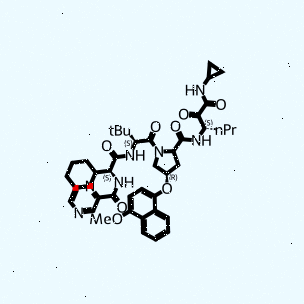 CCC[C@H](NC(=O)C1C[C@@H](Oc2ccc(OC)c3ccccc23)CN1C(=O)[C@@H](NC(=O)[C@@H](NC(=O)c1cnccn1)C1CCCCC1)C(C)(C)C)C(=O)C(=O)NC1CC1